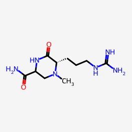 CN1CC(C(N)=O)NC(=O)[C@@H]1CCCNC(=N)N